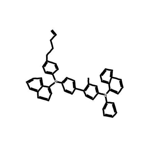 C=CCCCc1ccc(N(c2ccc(-c3ccc(N(c4ccccc4)c4cccc5ccccc45)cc3C)cc2)c2cccc3ccccc23)cc1